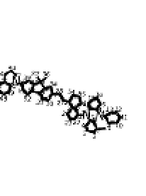 Cc1cccc2c1N(c1ccccc1)c1ccccc1N2c1cccc2c(/C=C/c3ccc4c(c3)C(C)(C)c3cc(N5CCCc6ccccc65)ccc3-4)cccc12